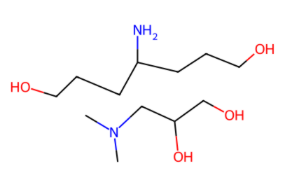 CN(C)CC(O)CO.NC(CCCO)CCCO